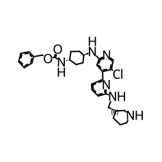 O=C(N[C@H]1CC[C@H](Nc2cc(-c3cccc(NC[C@@H]4CCCNC4)n3)c(Cl)cn2)CC1)OCc1ccccc1